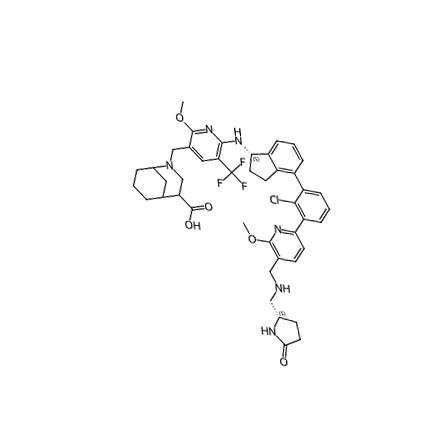 COc1nc(-c2cccc(-c3cccc4c3CC[C@@H]4Nc3nc(OC)c(CN4CC(C(=O)O)C5CCCC4C5)cc3C(F)(F)F)c2Cl)ccc1CNC[C@@H]1CCC(=O)N1